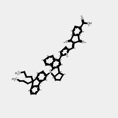 CCCCC1(CCCC)c2ccccc2-c2cc(N3c4c(cc(-c5ccc(/C=C6\C(=O)c7ccc(C(=O)O)cc7C6=O)s5)c5ccccc45)C4CCCC43)ccc21